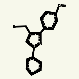 COc1ccc(-c2nn(-c3ccccc3)cc2CBr)cc1